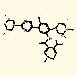 C[C@@H]1CN(c2ncc(-c3cc(NC(=O)C4=CN(C)CC=C4C(F)F)c(N4C[C@@H](C)N(C)[C@@H](C)C4)cc3F)cn2)C[C@H](C)O1